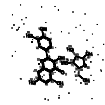 O=c1c(O)c(-c2ccc(O)c(O)c2)oc2cc(O)cc(O)c12.OC[C@H]1OC(O)[C@@H](O)[C@@H]1O